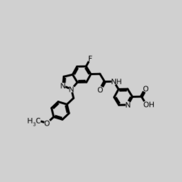 COc1ccc(Cn2ncc3cc(F)c(CC(=O)Nc4ccnc(C(=O)O)c4)cc32)cc1